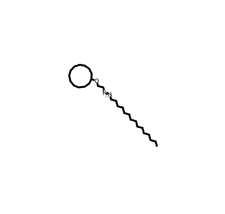 CCCCCCCCCCCCCCC/N=N/CCOC1CCCCCCCCCCCC1